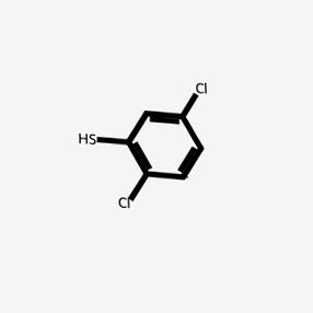 Sc1cc(Cl)c[c]c1Cl